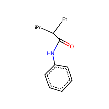 CCC(C(=O)Nc1ccccc1)C(C)C